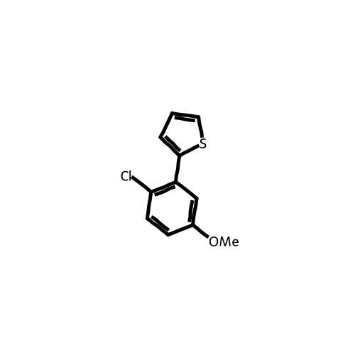 COc1ccc(Cl)c(-c2cccs2)c1